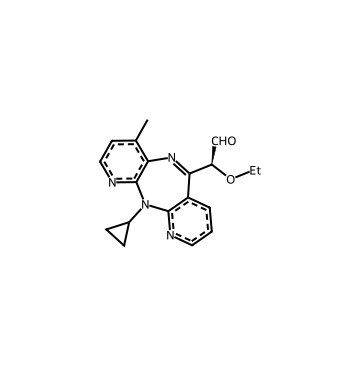 CCO[C@H](C=O)C1=Nc2c(C)ccnc2N(C2CC2)c2ncccc21